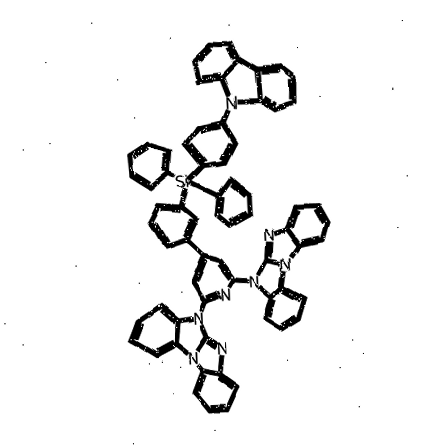 c1ccc([Si](c2ccccc2)(c2ccc(-n3c4ccccc4c4ccccc43)cc2)c2cccc(-c3cc(-n4c5ccccc5n5c6ccccc6nc45)nc(-n4c5ccccc5n5c6ccccc6nc45)c3)c2)cc1